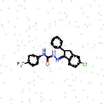 O=C(NN=C1c2ccc(Cl)cc2CC1c1ccccc1)Nc1ccc(C(F)(F)F)cc1